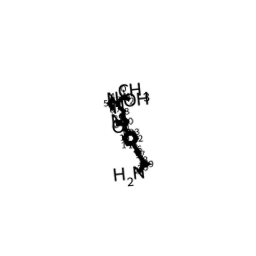 C[C@H](O)c1nccn1Cc1cc(-c2ccc(C#CC3CC3N)cc2)on1